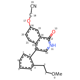 COCCc1ccccc1-c1c[nH]c(=O)c2cc(OCC#N)ccc12